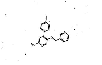 N#Cc1cc(-c2ccc(F)cc2)c(OCc2cccnc2)cn1